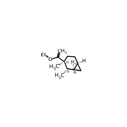 C=C(OCC)[C@@]1(C)CC[C@H]2C[C@H]2[C@@H]1C